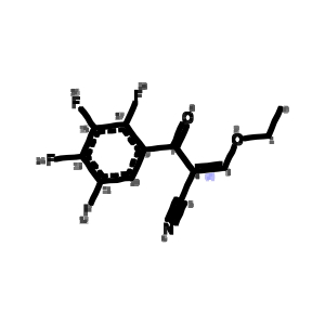 CCO/C=C(/C#N)C(=O)c1cc(F)c(F)c(F)c1F